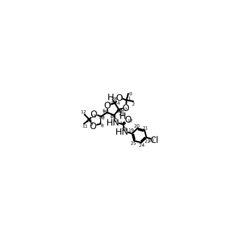 CC1(C)O[C@H]2O[C@H]([C@H]3COC(C)(C)O3)[C@H](NC(=O)Nc3ccc(Cl)cc3)[C@H]2O1